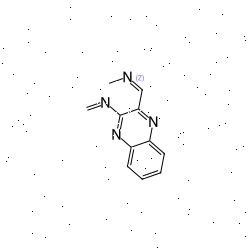 C=Nc1nc2ccccc2nc1/C=N\C